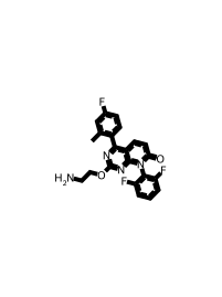 Cc1cc(F)ccc1-c1nc(OCCN)nc2c1ccc(=O)n2-c1c(F)cccc1F